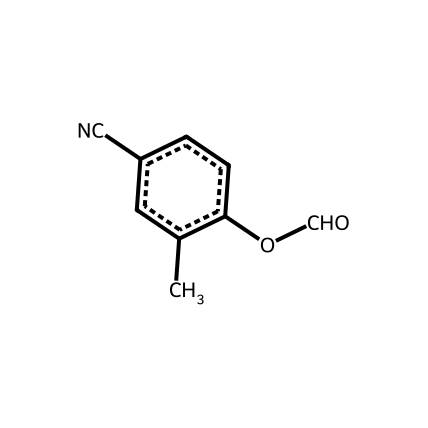 Cc1cc(C#N)ccc1OC=O